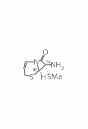 CS[C@@]1(N)C(=O)N2C=CCS[C@@H]21